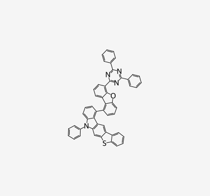 c1ccc(-c2nc(-c3ccccc3)nc(-c3cccc4c3oc3cccc(-c5cccc6c5c5cc7c(cc5n6-c5ccccc5)sc5ccccc57)c34)n2)cc1